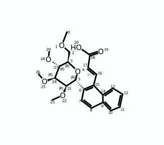 COC[C@H]1O[C@H](c2ccc3ccccc3c2/C=C/C(=O)O)[C@@H](OC)[C@@H](OC)[C@@H]1OC